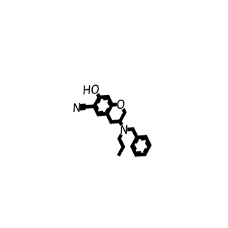 CCCN(Cc1ccccc1)C1COc2cc(O)c(C#N)cc2C1